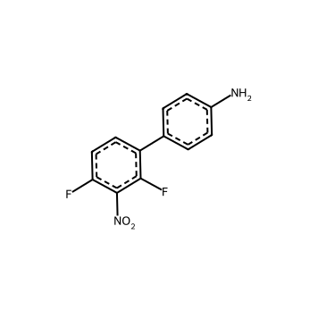 Nc1ccc(-c2ccc(F)c([N+](=O)[O-])c2F)cc1